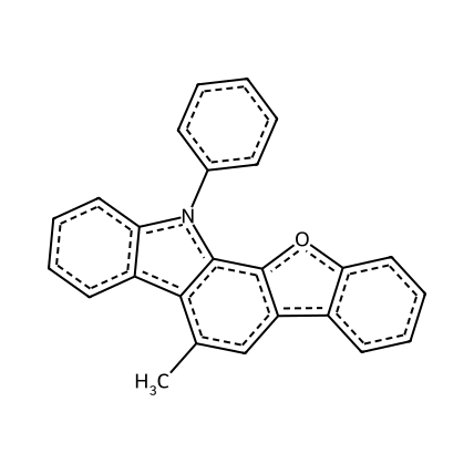 Cc1cc2c3ccccc3oc2c2c1c1ccccc1n2-c1ccccc1